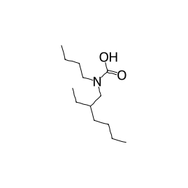 CCCCC(CC)CN(CCCC)C(=O)O